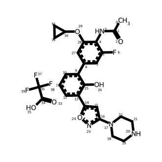 CC(=O)Nc1c(F)cc(-c2cccc(-c3cc(N4CCNCC4)no3)c2O)cc1OC1CC1.O=C(O)C(F)(F)F